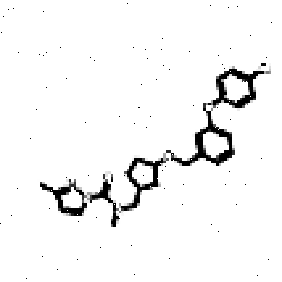 Cc1ccn(C(=O)N(C)CC2CCC(OCc3cccc(Oc4ccc(Cl)cc4)c3)C2)n1